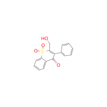 O=C1C(c2ccccc2)=C(CO)S(=O)(=O)c2ccccc21